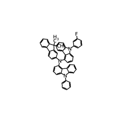 CC1(C)c2ccccc2-c2ccc(N(c3cccc4c3c3ccccc3n4-c3ccccc3)c3cccc4c3c3ccccc3n4-c3cccc(F)c3)cc21